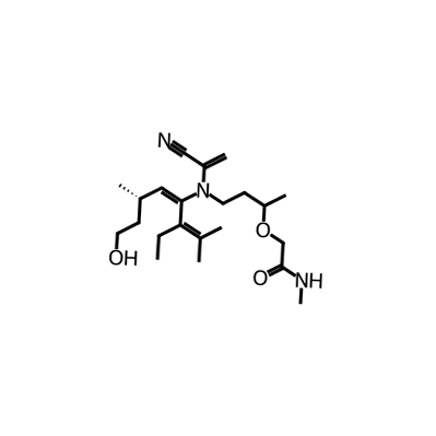 C=C(C#N)N(CCC(C)OCC(=O)NC)/C(=C/[C@@H](C)CCO)C(CC)=C(C)C